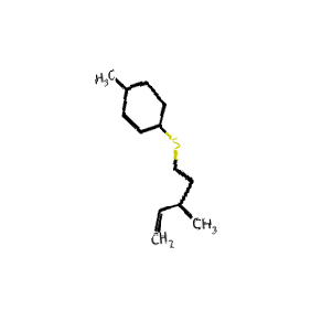 C=CC(C)CCSC1CCC(C)CC1